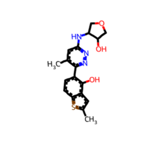 Cc1cc2c(O)c(-c3nnc(NC4COCC4O)cc3C)ccc2s1